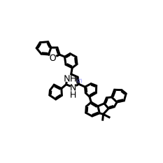 CC1(C)c2cc3ccccc3cc2-c2c(-c3cccc(/C(=C/Cc4cccc(-c5cc6ccccc6o5)c4)NC(N)c4ccccc4)c3)cccc21